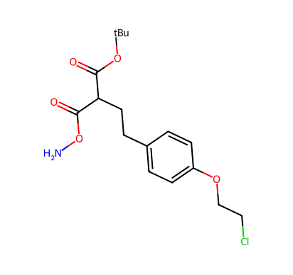 CC(C)(C)OC(=O)C(CCc1ccc(OCCCl)cc1)C(=O)ON